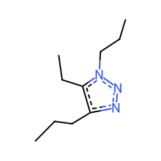 CCCc1nnn(CCC)c1CC